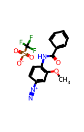 COc1cc([N+]#N)ccc1NC(=O)c1ccccc1.O=S(=O)([O-])C(F)(F)F